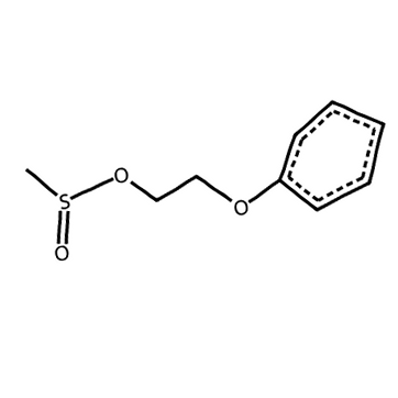 CS(=O)OCCOc1ccccc1